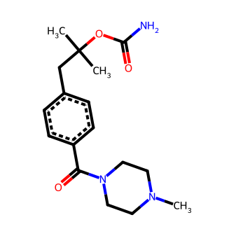 CN1CCN(C(=O)c2ccc(CC(C)(C)OC(N)=O)cc2)CC1